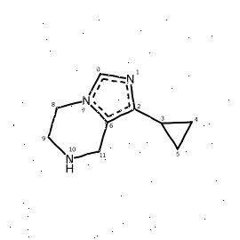 c1nc(C2CC2)c2n1CCNC2